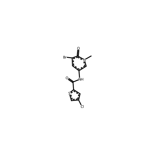 Cn1cc(NC(=O)c2cc(Cl)cs2)cc(Br)c1=O